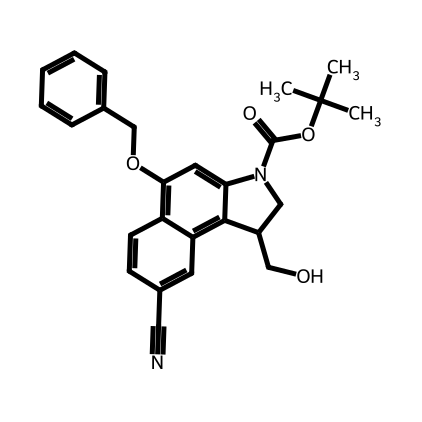 CC(C)(C)OC(=O)N1CC(CO)c2c1cc(OCc1ccccc1)c1ccc(C#N)cc21